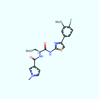 COC[C@H](NC(=O)c1ccn(C)c1)C(=O)Nc1nc(-c2ccc(F)c(OC)c2)cs1